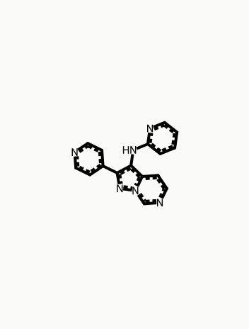 c1ccc(Nc2c(-c3ccncc3)nn3cnccc23)nc1